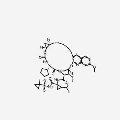 CC[C@@H]1[C@@H]2CN(C(=O)[C@H](C3CCCC3)NC(=O)O[C@@H]3C[C@H]3CCCCCc3nc4ccc(OC)cc4nc3O2)[C@@H]1C(=O)N[C@]1(C(=O)NS(=O)(=O)C2(C)CC2)CC1C(F)F